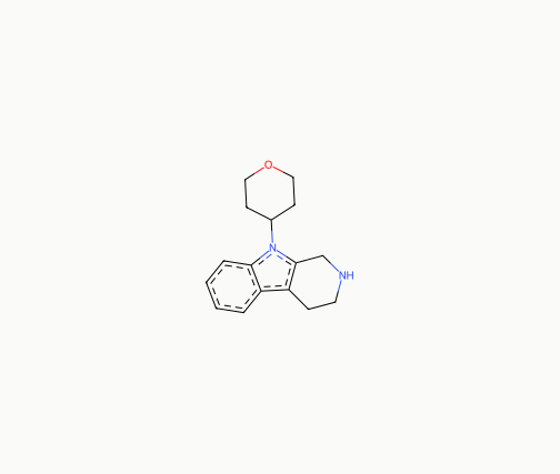 c1ccc2c(c1)c1c(n2C2CCOCC2)CNCC1